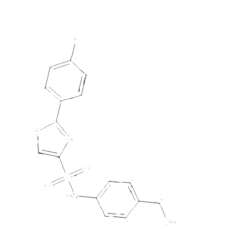 O=S(=O)(Nc1ccc(CO)cc1)c1csc(-c2ccc(F)cc2)n1